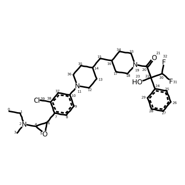 CCN(C)C1OC1c1ccc(N2CCC(CC3CCN(C(=O)C(O)(c4ccccc4)C(F)F)CC3)CC2)cc1Cl